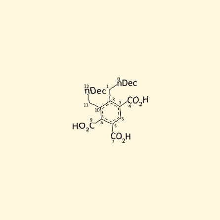 CCCCCCCCCCCc1c(C(=O)O)cc(C(=O)O)c(C(=O)O)c1CCCCCCCCCCC